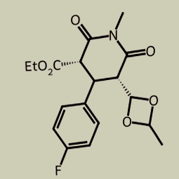 CCOC(=O)[C@@H]1C(=O)N(C)C(=O)[C@H](C2OC(C)O2)C1c1ccc(F)cc1